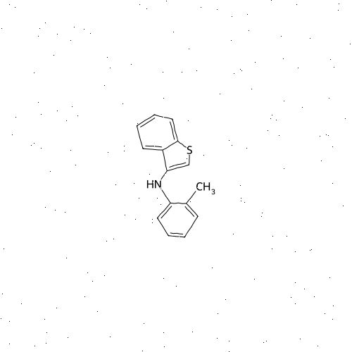 Cc1ccccc1Nc1csc2ccccc12